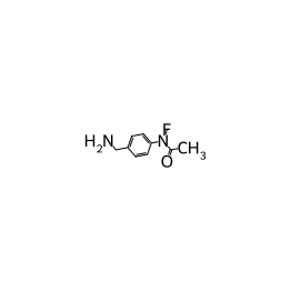 CC(=O)N(F)c1ccc(CN)cc1